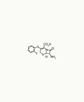 N[C@@H]1C(=O)N2C(C(=O)O)=C(Sc3ccccc3I)CS[C@H]12